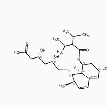 CC(C)C(C(=O)O[C@H]1C[C@H](O)C=C2C=C[C@@H](C)[C@H](CC[C@@H](O)C[C@@H](O)CC(=O)O)[C@H]21)C(C)C